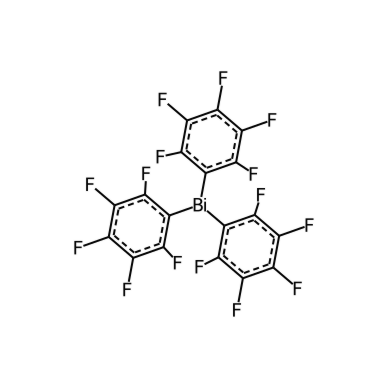 Fc1c(F)c(F)[c]([Bi]([c]2c(F)c(F)c(F)c(F)c2F)[c]2c(F)c(F)c(F)c(F)c2F)c(F)c1F